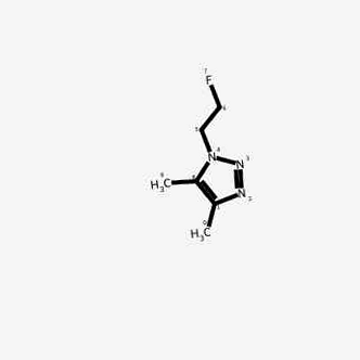 Cc1nnn(CCF)c1C